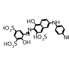 Nc1ccc(Nc2ccc3c(O)c(N=Nc4cc(S(=O)(=O)O)cc(S(=O)(=O)O)c4O)c(S(=O)(=O)O)cc3c2)cc1